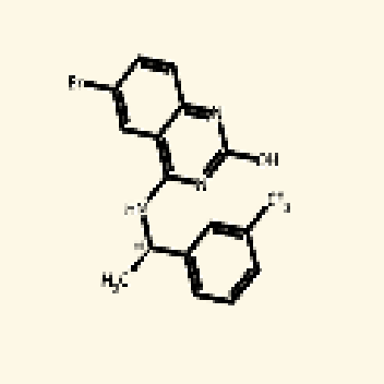 C[C@@H](Nc1nc(O)nc2ccc(Br)cc12)c1cccc(C(F)(F)F)c1